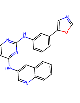 c1cc(Nc2nccc(Nc3cnc4ccccc4c3)n2)cc(-c2cnco2)c1